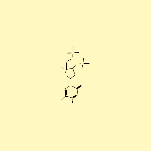 CC(C)(C)[Si](C)(C)OC[C@@]1(C)O[C@@H](n2cc(F)c(N)nc2=O)[C@@H](F)C1O[Si](C)(C)C(C)(C)C